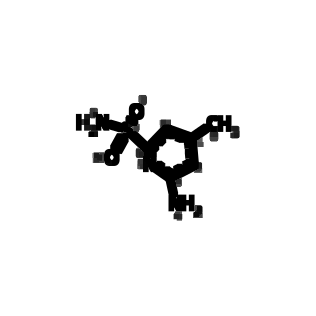 Cc1cc(N)nc(S(N)(=O)=O)c1